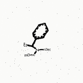 CCCCCCCCCCN(CCCCCCCCCC)C(CC)c1ccccc1